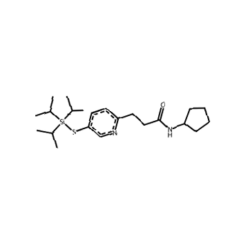 CC(C)[Si](Sc1ccc(CCC(=O)NC2CCCC2)nc1)(C(C)C)C(C)C